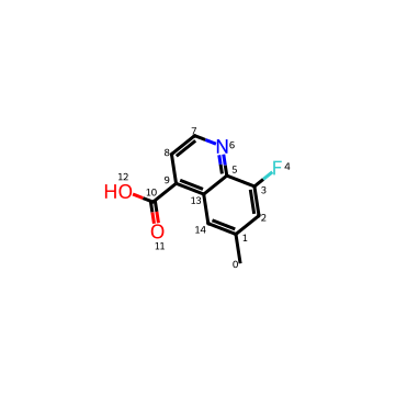 Cc1cc(F)c2nccc(C(=O)O)c2c1